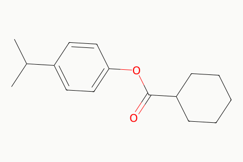 CC(C)c1ccc(OC(=O)C2CCCCC2)cc1